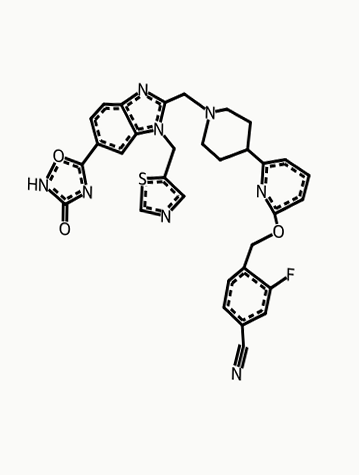 N#Cc1ccc(COc2cccc(C3CCN(Cc4nc5ccc(-c6nc(=O)[nH]o6)cc5n4Cc4cncs4)CC3)n2)c(F)c1